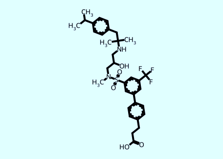 CC(C)c1ccc(CC(C)(C)NCC(O)CN(C)S(=O)(=O)c2cc(-c3ccc(CCC(=O)O)cc3)cc(C(F)(F)F)c2)cc1